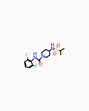 CC(C)S(=O)(=O)NC1CCN(C(=O)Nc2c(F)cccc2F)CC1